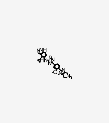 CCN1CCc2c(nc(-c3ccc(-c4nc(Nc5ccc6[nH]ncc6c5C5CC5)n(C)n4)cc3OC)n2C)C1